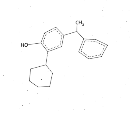 CC(c1ccccc1)c1ccc(O)c(C2CCCCC2)c1